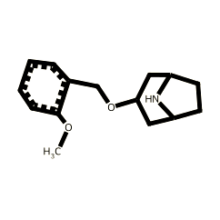 COc1ccccc1COC1CC2CCC(C1)N2